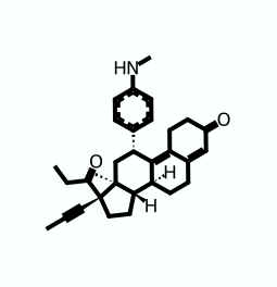 CC#C[C@]1(C(=O)CC)CC[C@H]2[C@@H]3CCC4=CC(=O)CCC4=C3[C@@H](c3ccc(NC)cc3)C[C@@]21C